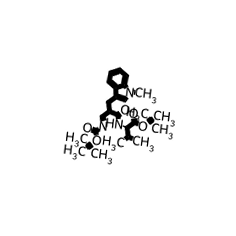 CC(C)[C@H](NC(=O)C(/C=N/C(=O)OC(C)(C)C)Cc1cn(C)c2ccccc12)C(=O)OC(C)(C)C